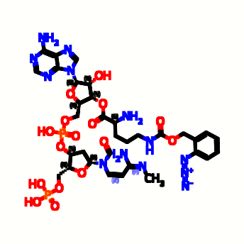 C/N=C(N)\C=C/N(C=O)[C@H]1C[C@H](OP(=O)(O)OC[C@H]2O[C@H](n3cnc4c(N)ncnc43)[C@H](O)[C@@H]2OC(=O)[C@@H](N)CCCNC(=O)OCc2ccccc2N=[N+]=[N-])[C@@H](COP(=O)(O)O)O1